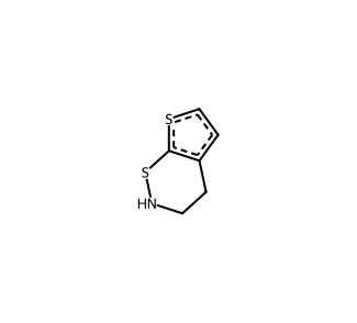 c1cc2c(s1)SNCC2